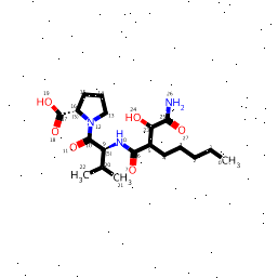 CCCCCC(C(=O)N[C@H](C(=O)N1CCC[C@H]1C(=O)O)C(C)C)C(O)C(N)=O